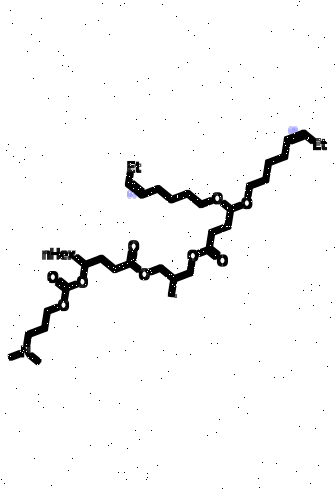 [CH2]C(COC(=O)CCC(CCCCCC)OC(=O)OCCCN(C)C)COC(=O)CCC(OCCCC/C=C\CC)OCCCC/C=C\CC